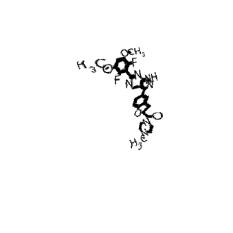 COc1cc(OC)c(F)c(-c2ncc3c(-c4ccc5c(c4)CC(C(=O)N4CCN(C)CC4)O5)n[nH]c3n2)c1F